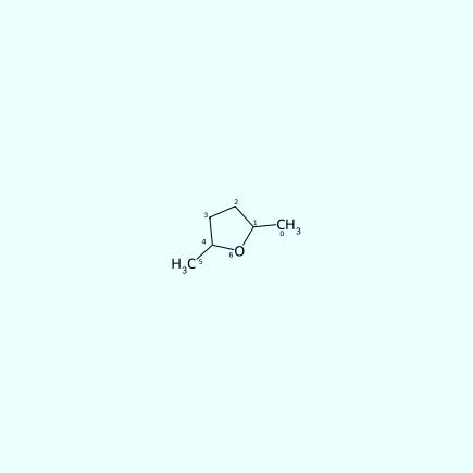 CC1CCC(C)O1